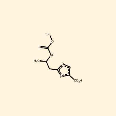 C[C@H](Cc1nc(C(=O)O)co1)NC(=O)OC(C)(C)C